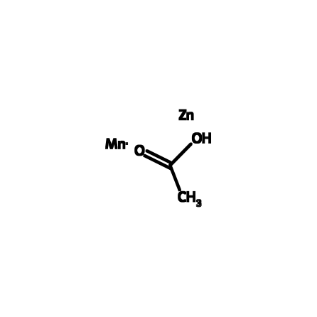 CC(=O)O.[Mn].[Zn]